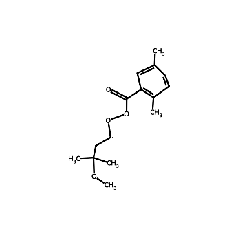 COC(C)(C)C[CH]OOC(=O)c1cc(C)ccc1C